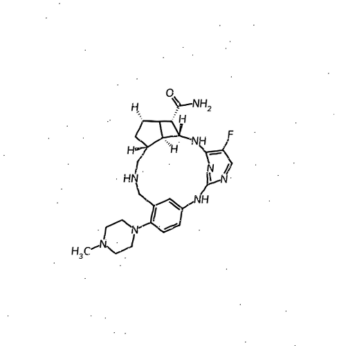 CN1CCN(c2ccc3cc2CNC[C@@H]2C[C@@H]4C[C@H]2[C@@H](Nc2nc(ncc2F)N3)[C@H]4C(N)=O)CC1